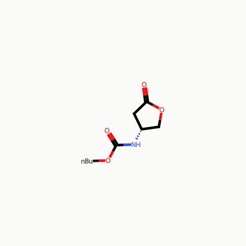 CCCCOC(=O)N[C@H]1COC(=O)C1